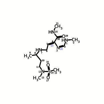 CN/C=N\C(=C/CNC(C)CCN(C)S(C)(=O)=O)C(=O)NC